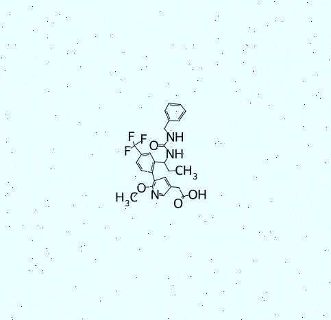 CCC(NC(=O)NCc1ccccc1)c1cc(C(F)(F)F)ccc1-c1cc(CC(=O)O)cnc1OC